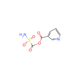 NS(=O)(=O)C(=O)OC(=O)c1cccnc1